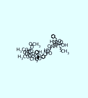 CSCC[C@H](NC(=O)[C@H](Cc1ccccc1)NC(=O)CNC(=O)CNC(=O)[C@@H](N)Cc1ccc(OS(=O)(=O)Oc2ccccc2OC2O[C@H](COC(C)=O)[C@H](OC(C)=O)[C@H](OC(C)=O)[C@H]2OC(C)=O)cc1)C(=O)O